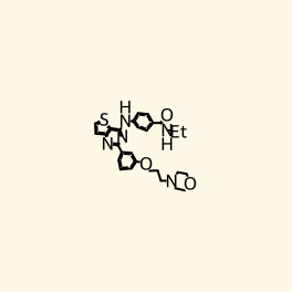 CCNC(=O)c1ccc(Nc2nc(-c3cccc(OCCCN4CCOCC4)c3)nc3ccsc23)cc1